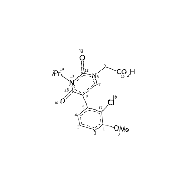 COc1cccc(-c2cn(CC(=O)O)c(=O)n(C(C)C)c2=O)c1Cl